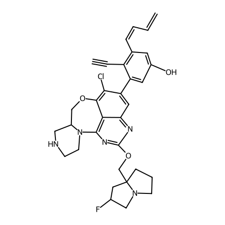 C#Cc1c(/C=C\C=C)cc(O)cc1-c1cc2nc(OCC34CCCN3CC(F)C4)nc3c2c(c1Cl)OCC1CNCCN31